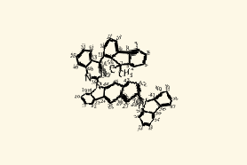 CC1(C)c2ccccc2-c2cccc(-c3nc(-n4c5ccccc5c5cc6cc(-n7c8ccccc8c8ccccc87)ccc6cc54)nc4ccccc34)c21